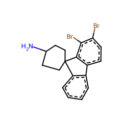 NC1CCC2(CC1)c1ccccc1-c1ccc(Br)c(Br)c12